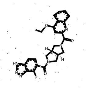 CCOc1cc(C(=O)N2C[C@H]3CN(C(=O)c4ccc5[nH]nnc5c4F)C[C@@H]3C2)nc2ccccc12